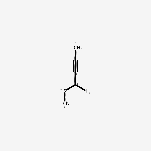 CC#CC(I)SC#N